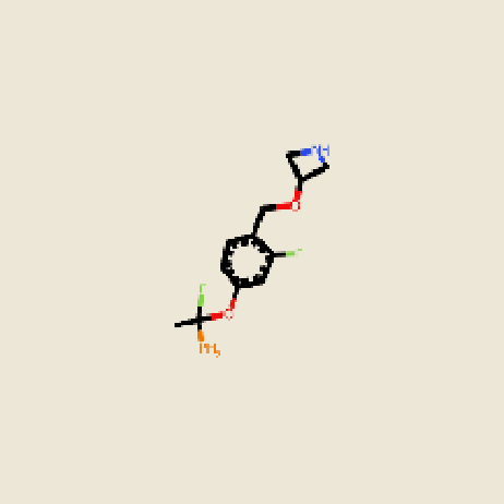 CC(F)(P)Oc1ccc(COC2CNC2)c(F)c1